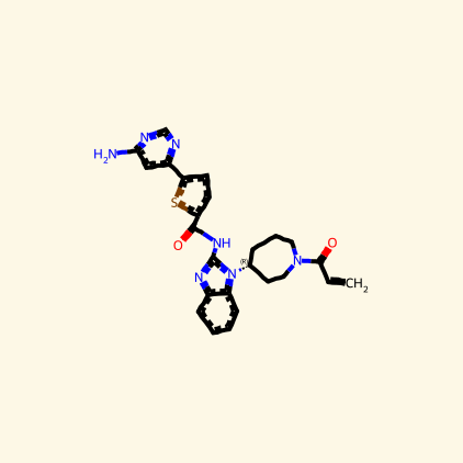 C=CC(=O)N1CCC[C@@H](n2c(NC(=O)c3ccc(-c4cc(N)ncn4)s3)nc3ccccc32)CC1